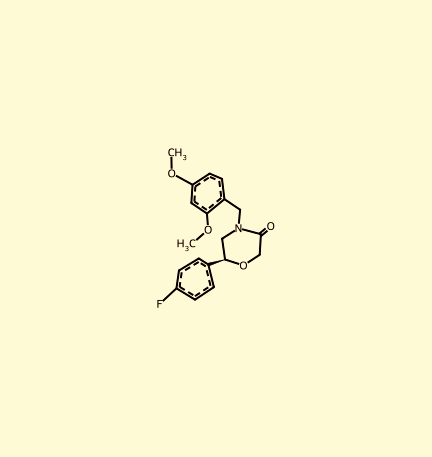 COc1ccc(CN2C[C@H](c3ccc(F)cc3)OCC2=O)c(OC)c1